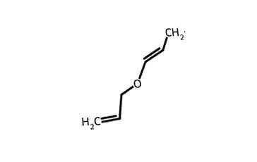 [CH2]/C=C/OCC=C